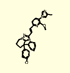 COc1nc(/C=C/c2nc3n(n2)CCCC3(c2ccccc2)c2ccc(Cl)cc2)ccc1-n1cnc(C)c1